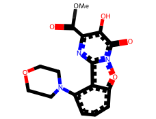 COC(=O)c1nc2c3c(N4CCOCC4)cccc3on2c(=O)c1O